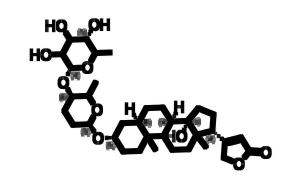 CC1O[C@H](O[C@@H]2CC[C@H](O[C@H]3CCC4(C)C5CCC6(C)[C@@H](C7=CC(=O)OC7)CC[C@]6(O)[C@@H]5CC[C@@H]4C3)OC2C)C(O)C(O)[C@@H]1O